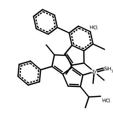 CC1=Cc2c(-c3ccccc3)ccc(C)c2[CH]1[Zr]([CH3])([CH3])(=[SiH2])[C]1=C2SC(C)C(c3ccccc3)=C2C=C1C(C)C.Cl.Cl